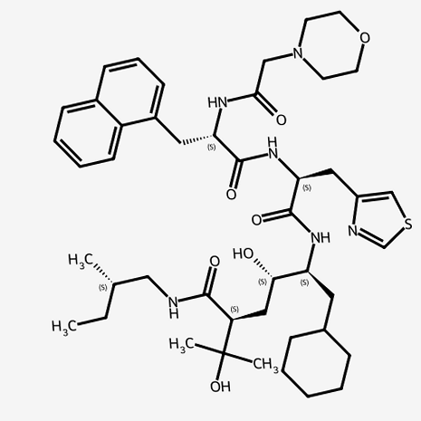 CC[C@H](C)CNC(=O)[C@@H](C[C@H](O)[C@H](CC1CCCCC1)NC(=O)[C@H](Cc1cscn1)NC(=O)[C@H](Cc1cccc2ccccc12)NC(=O)CN1CCOCC1)C(C)(C)O